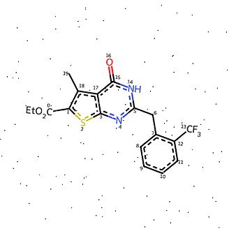 CCOC(=O)c1sc2nc(Cc3ccccc3C(F)(F)F)[nH]c(=O)c2c1C